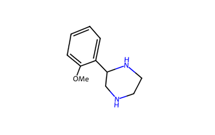 COc1ccccc1C1CNCCN1